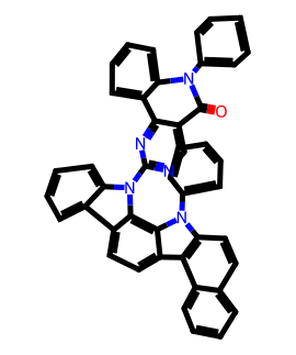 O=c1c2cnc(-n3c4ccccc4c4ccc5c6c7ccccc7ccc6n(-c6ccccc6)c5c43)nc2c2ccccc2n1-c1ccccc1